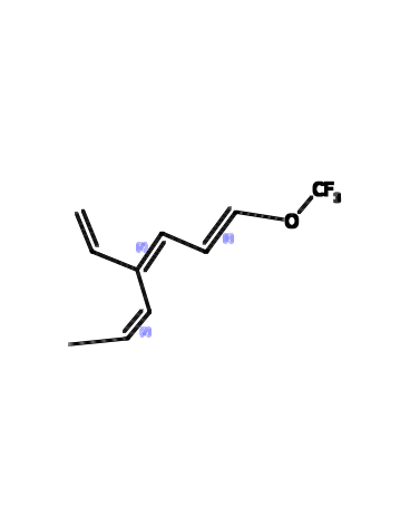 C=CC(/C=C\C)=C/C=C/OC(F)(F)F